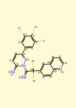 N=C(n1nc(-c2cc(F)c(F)c(F)c2)ccc1=N)C(F)(F)c1ccc2ncccc2c1